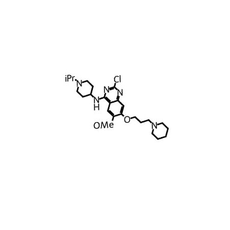 COc1cc2c(NC3CCN(C(C)C)CC3)nc(Cl)nc2cc1OCCCN1CCCCC1